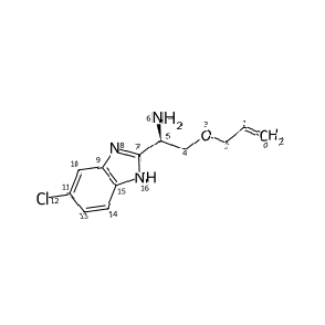 C=CCOC[C@H](N)c1nc2cc(Cl)ccc2[nH]1